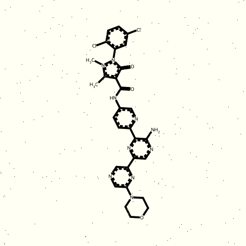 Cc1c(C(=O)Nc2ccc(-c3nc(-c4cncc(N5CCOCC5)n4)cnc3N)nc2)c(=O)n(-c2cc(Cl)ccc2Cl)n1C